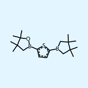 CC1(C)CB(c2ccc(B3CC(C)(C)C(C)(C)O3)s2)CC1(C)C